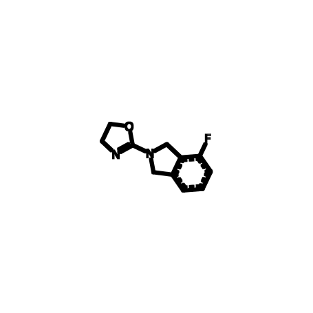 Fc1cccc2c1CN(C1=NCCO1)C2